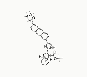 CC(C)(C)OC(=O)N1C(c2nc(-c3ccc4cc5cc(B6OC(C)(C)C(C)(C)O6)ccc5cc4c3)c[nH]2)C[C@@H]2CCCC[C@@H]21